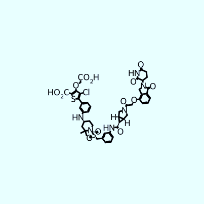 CC1(C)C[C@@H](Nc2cccc(-c3sc(C(=O)O)c(OCC(=O)O)c3Cl)c2)CCN1S(=O)(=O)Cc1cccc(NC(=O)[C@H]2[C@@H]3CN(C(=O)COc4cccc5c4CN(C4CCC(=O)NC4=O)C5=O)C[C@@H]32)c1